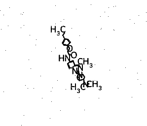 CCCc1ccc(OCC(=O)Nc2ccc3nc(N4CCC(N(C)C)CC4)nc(C)c3c2)cc1